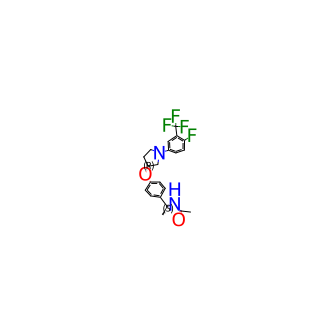 CC(=O)N[C@@H](C)c1ccc(O[C@@H]2CCN(c3ccc(F)c(C(F)(F)F)c3)C2)cc1